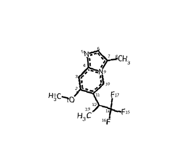 COc1cc2ncc(C)n2cc1C(C)C(F)(F)F